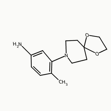 Cc1ccc(N)cc1N1CCC2(CC1)OCCO2